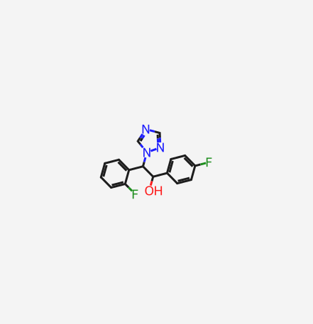 OC(c1ccc(F)cc1)C(c1ccccc1F)n1cncn1